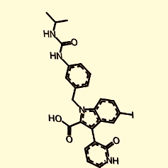 CC(C)NC(=O)Nc1cccc(Cn2c(C(=O)O)c(-c3ccc[nH]c3=O)c3cc(I)ccc32)c1